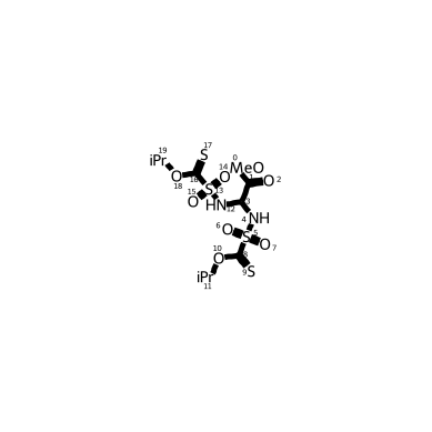 COC(=O)C(NS(=O)(=O)C(=S)OC(C)C)NS(=O)(=O)C(=S)OC(C)C